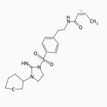 C/C=C\C(=O)NCCc1ccc(S(=O)(=O)N2CCN(C3CCCCC3)C2=N)cc1